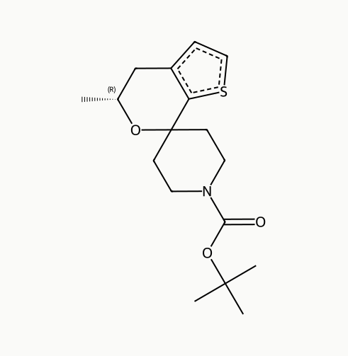 C[C@@H]1Cc2ccsc2C2(CCN(C(=O)OC(C)(C)C)CC2)O1